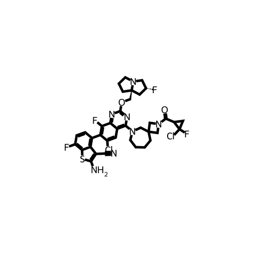 N#Cc1c(N)sc2c(F)ccc(-c3c(Cl)cc4c(N5CCCCC6(CN(C(=O)C7CC7(F)Cl)C6)C5)nc(OC[C@@]56CCCN5C[C@H](F)C6)nc4c3F)c12